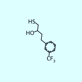 OC(CS)CCc1cccc(C(F)(F)F)c1